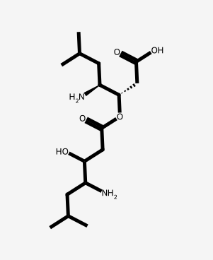 CC(C)CC(N)C(O)CC(=O)O[C@@H](CC(=O)O)[C@@H](N)CC(C)C